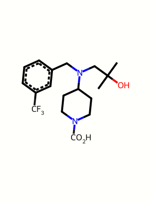 CC(C)(O)CN(Cc1cccc(C(F)(F)F)c1)C1CCN(C(=O)O)CC1